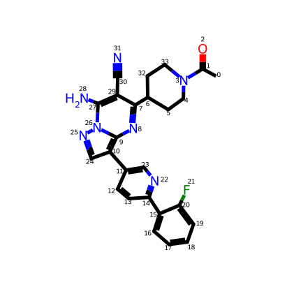 CC(=O)N1CCC(c2nc3c(-c4ccc(-c5ccccc5F)nc4)cnn3c(N)c2C#N)CC1